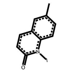 Cc1ccc2c(ccc(=O)n2I)c1